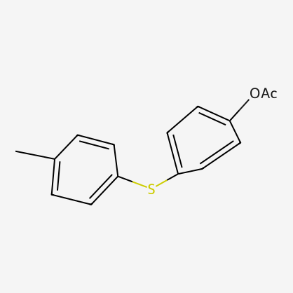 CC(=O)Oc1ccc(Sc2ccc(C)cc2)cc1